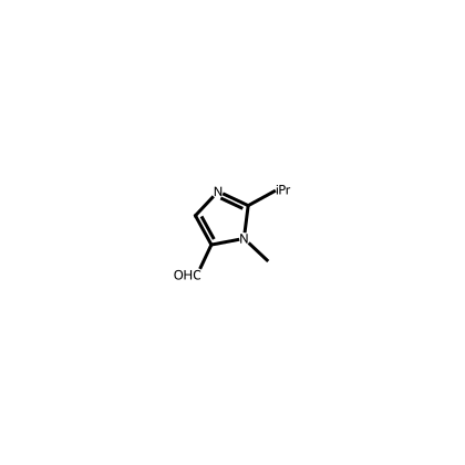 CC(C)c1ncc(C=O)n1C